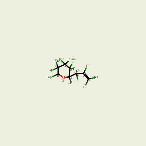 FC(F)=C(F)C(F)(F)C1(F)OC(F)C(F)(F)C(F)(F)C1(F)F